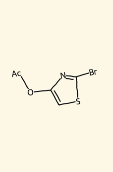 CC(=O)Oc1csc(Br)n1